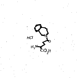 Cl.NC(CCC(=O)N1CCCc2ccccc2C1)C(=O)O